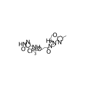 Cc1cnc2c(c1)OCC[C@H]1CN(C(=O)CCOC[C@H](C)Nc3cn[nH]c(=O)c3C(F)(F)F)CCN21